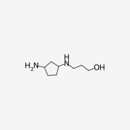 NC1CCC(NCCCO)C1